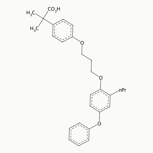 CCCc1cc(Oc2ccccc2)ccc1OCCCOc1ccc(C(C)(C)C(=O)O)cc1